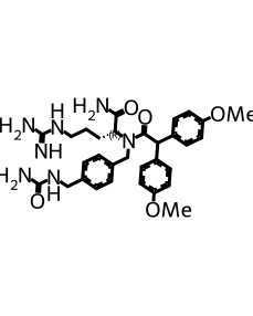 COc1ccc(C(C(=O)N(Cc2ccc(CNC(N)=O)cc2)[C@H](CCCNC(=N)N)C(N)=O)c2ccc(OC)cc2)cc1